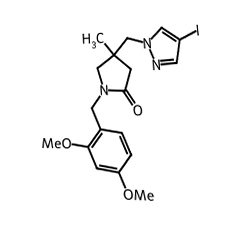 COc1ccc(CN2CC(C)(Cn3cc(I)cn3)CC2=O)c(OC)c1